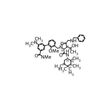 CNC(=O)c1cc(-c2cccc(CN3O[C@@H](CNCc4ccccc4)[C@@H]([C@H](C)O)[C@H]3C(=O)N[C@H]3C[C@@H](C)C(C)(C)[C@@H](C)[C@@H]3C)c2OC)cc(N(C)C)c1